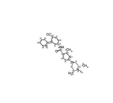 Cc1nc(N2C[C@@H](C)N(I)[C@@H](C)C2)ccc1C(=O)Nc1ccc(Cl)c(-c2ccccn2)c1